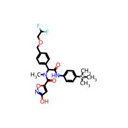 CN(C(=O)c1cc(O)no1)C(C(=O)Nc1ccc([Si](C)(C)C)cc1)c1ccc(COCC(F)F)cc1